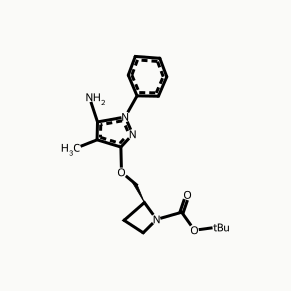 Cc1c(OC[C@@H]2CCN2C(=O)OC(C)(C)C)nn(-c2ccccc2)c1N